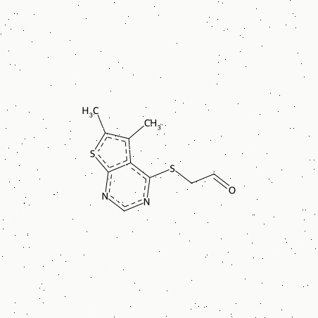 Cc1sc2ncnc(SC[C]=O)c2c1C